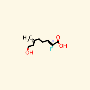 C[C@H](CCO)CC/C=C(\F)C(=O)O